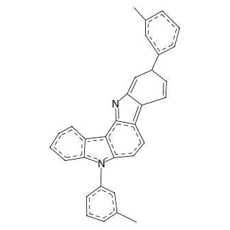 Cc1cccc(C2C=CC3=c4ccc5c(c4=NC3=C2)c2ccccc2n5-c2cccc(C)c2)c1